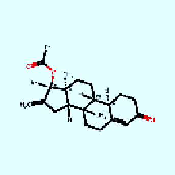 C=C1C[C@H]2C3(C)CCC4=CC(=O)CC[C@@H]4[C@H]3CC[C@]2(C)[C@]1(OC(=O)CC)C(C)=O